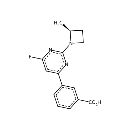 C[C@H]1CCN1c1nc(F)cc(-c2cccc(C(=O)O)c2)n1